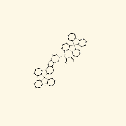 C/C=C\C(=C/C)N(c1cccc2c1-c1ccccc1C21c2ccccc2-c2ccccc21)C1C=Cc2oc3cc(C4(c5ccccc5)c5ccccc5-c5ccccc54)ccc3c2C1